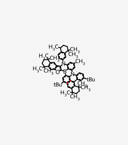 Cc1cc2c3c(c1)N(c1ccc4c(c1)C(C)(C)CCC4C)c1c(oc4cc5c(cc14)C(C)(C)CCC5(C)C)B3c1cc(C(C)(C)C)ccc1N2c1ccc(C(C)(C)C)cc1-c1cccc2c1C(C)(C)CCC2(C)C